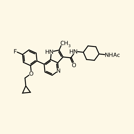 CC(=O)NC1CCC(NC(=O)c2c(C)[nH]c3c(-c4ccc(F)cc4OCC4CC4)ccnc23)CC1